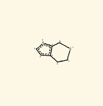 [c]1csc2c1CCSC2